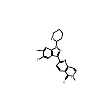 Cn1ccc2nc(-c3nn(C4CCCCO4)c4cc(F)c(F)cc34)ccc2c1=O